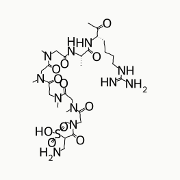 CC(=O)[C@H](CCCCNC(=N)N)NC(=O)[C@H](C)NC(=O)CN(C)C(=O)CN(C)C(=O)CN(C)C(=O)CN(C)C(=O)CN(C)C(=O)C(CN)S(=O)(=O)O